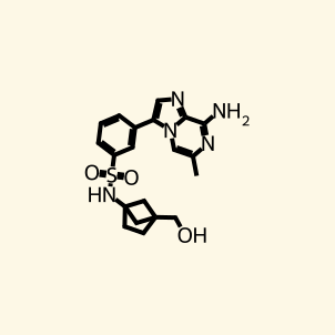 Cc1cn2c(-c3cccc(S(=O)(=O)NC45CCC(CO)(C4)C5)c3)cnc2c(N)n1